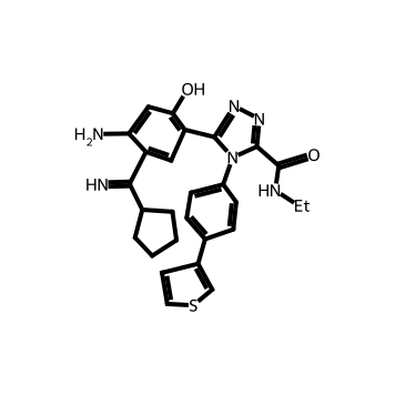 CCNC(=O)c1nnc(-c2cc(C(=N)C3CCCC3)c(N)cc2O)n1-c1ccc(-c2ccsc2)cc1